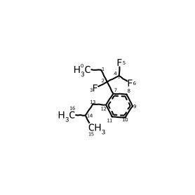 CCC(F)([C](F)F)c1ccccc1CC(C)C